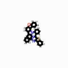 c1ccc(-c2nc(-c3ccccc3-n3c4ccccc4c4ccc5oc6ccccc6c5c43)c3sc4ccccc4c3n2)cc1